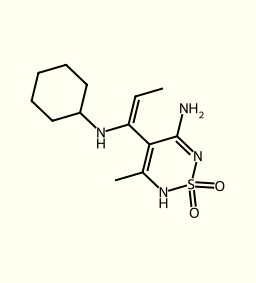 C/C=C(/NC1CCCCC1)C1=C(C)NS(=O)(=O)N=C1N